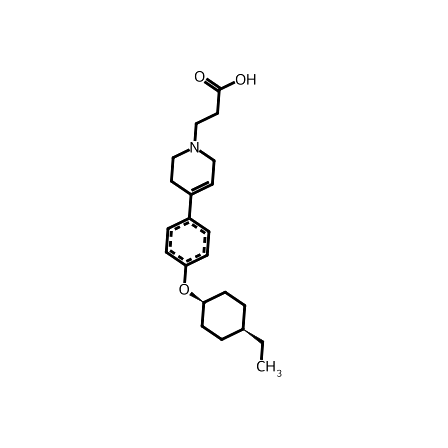 CC[C@H]1CC[C@@H](Oc2ccc(C3=CCN(CCC(=O)O)CC3)cc2)CC1